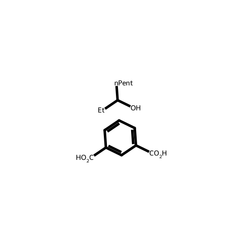 CCCCCC(O)CC.O=C(O)c1cccc(C(=O)O)c1